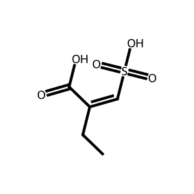 CCC(=CS(=O)(=O)O)C(=O)O